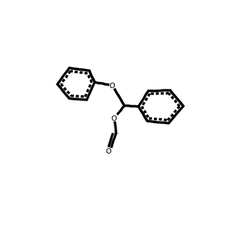 O=[C]OC(Oc1ccccc1)c1ccccc1